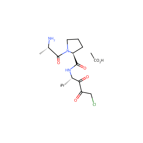 CC(=O)O.CC(C)[C@H](NC(=O)[C@@H]1CCCN1C(=O)[C@H](C)N)C(=O)C(=O)CCl